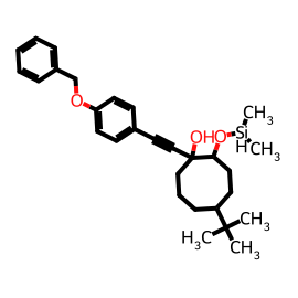 C[SiH](C)OC1CCC(C(C)(C)C)CCCC1(O)C#Cc1ccc(OCc2ccccc2)cc1